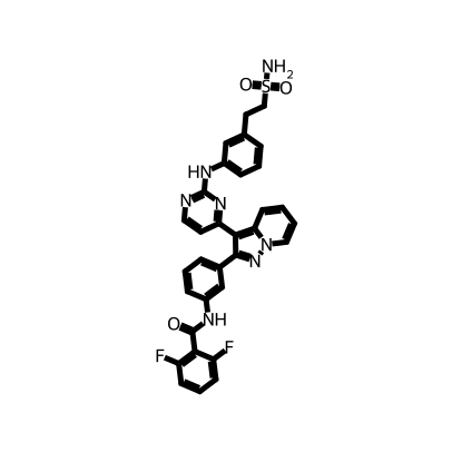 NS(=O)(=O)CCc1cccc(Nc2nccc(-c3c(-c4cccc(NC(=O)c5c(F)cccc5F)c4)nn4ccccc34)n2)c1